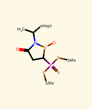 CCCCCCCC(C)N1C(=O)CC(P(=S)(SSC)SSC)[S+]1[O-]